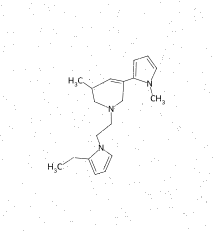 CCc1cccn1CCN1CC(c2cccn2C)=CC(C)C1